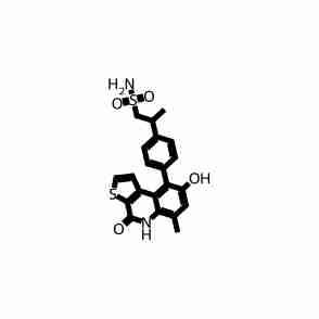 Cc1cc(O)c(-c2ccc(C(C)CS(N)(=O)=O)cc2)c2c1[nH]c(=O)c1sccc12